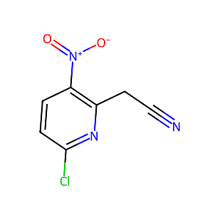 N#CCc1nc(Cl)ccc1[N+](=O)[O-]